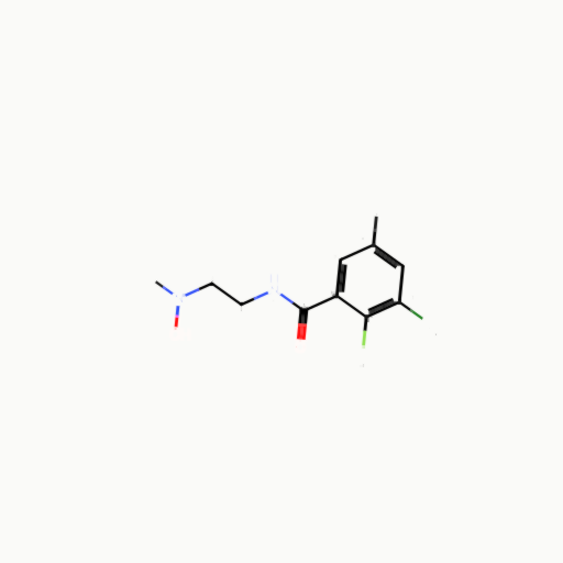 O=CN(O)CCNC(=O)c1cc(C(F)(F)F)cc(Cl)c1F